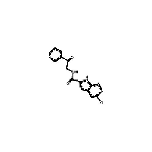 O=C(CNC(=O)c1cc2cc(Cl)ncc2[nH]1)c1cccnc1